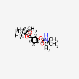 CC(C)(C)NC(=O)O[C@H]1CCC=C(B2OC(C)(C)C(C)(C)O2)C1